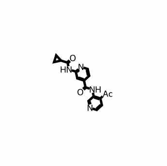 CC(=O)c1ccncc1NC(=O)c1ccnc(NC(=O)C2CC2)c1